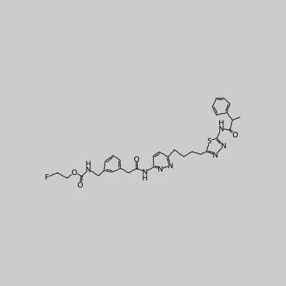 CC(C(=O)Nc1nnc(CCCCc2ccc(NC(=O)Cc3cccc(CNC(=O)OCCF)c3)nn2)s1)c1ccccc1